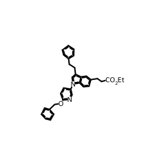 CCOC(=O)CCc1ccc2c(c1)c(CCc1ccccc1)cn2-c1ccc(OCc2ccccc2)nc1